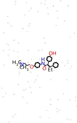 CC/C(=C(\C(=O)Nc1ccc(OCCCN(C)C)cc1)c1ccc(O)cc1)c1ccccc1